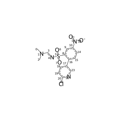 CN(C)/C=N/S(=O)(=O)c1cc([N+](=O)[O-])ccc1-c1ccc(Cl)nc1